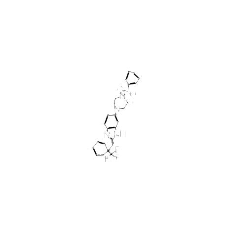 O=S(=O)(c1ccccc1)N1CCN(c2ccc3nc(CC4(C(F)(F)F)C=CC=CC4)[nH]c3c2)CC1